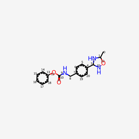 CC1NC(c2ccc(CNC(=O)Oc3ccccc3)cc2)NO1